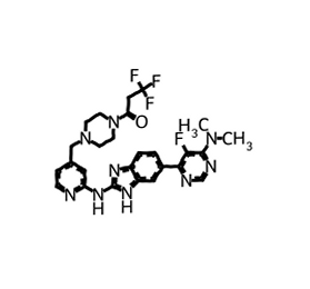 CN(C)c1ncnc(-c2ccc3nc(Nc4cc(CN5CCN(C(=O)CC(F)(F)F)CC5)ccn4)[nH]c3c2)c1F